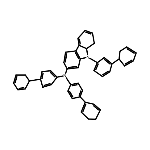 C1=CCC(c2ccc(N(c3ccc(C4=CCCC=C4)cc3)c3ccc4c(c3)N(c3cccc(C5C=CC=CC5)c3)C3CC=CC=C43)cc2)C=C1